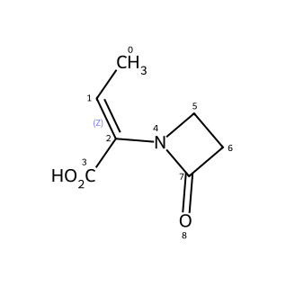 C/C=C(/C(=O)O)N1CCC1=O